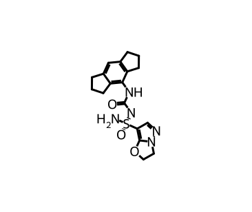 NS(=O)(=NC(=O)Nc1c2c(cc3c1CCC3)CCC2)c1cnn2c1OCC2